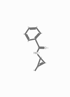 CC1=CC1NC(=O)c1ccccc1